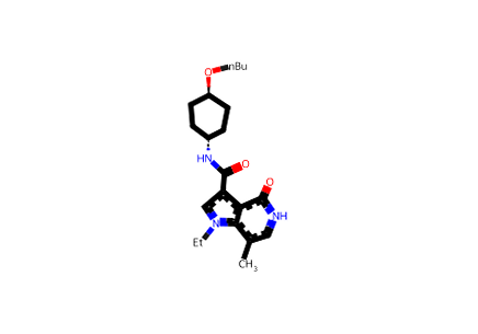 CCCCO[C@H]1CC[C@H](NC(=O)c2cn(CC)c3c(C)c[nH]c(=O)c23)CC1